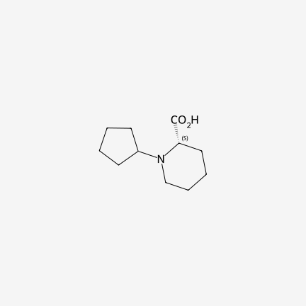 O=C(O)[C@@H]1CCCCN1C1CCCC1